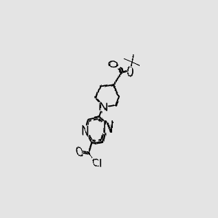 CC(C)(C)OC(=O)C1CCN(c2cnc(C(=O)Cl)cn2)CC1